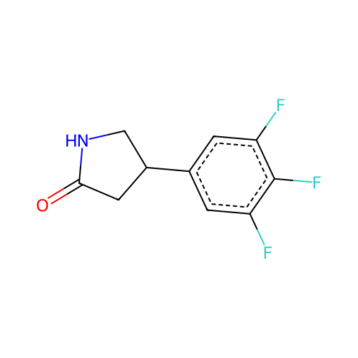 O=C1CC(c2cc(F)c(F)c(F)c2)CN1